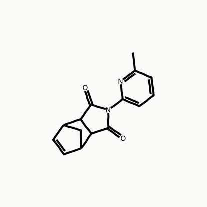 Cc1cccc(N2C(=O)C3C4C=CC(C4)C3C2=O)n1